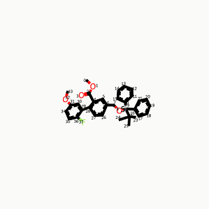 COC(=O)c1cc(CO[Si](c2ccccc2)(c2ccccc2)C(C)(C)C)ccc1-c1cc(OC)ccc1F